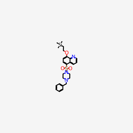 C[Si](C)(C)CCOc1ccc(S(=O)(=O)N2CCN(Cc3ccccc3)CC2)c2cccnc12